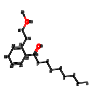 CCCCCCCCC(=O)C1C=CCC=C1CCOC